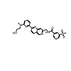 CN(CCO)c1cccc(-c2ccc3cnc(CNC(=O)c4cncc(S(C)(=O)=O)c4)cc3n2)n1